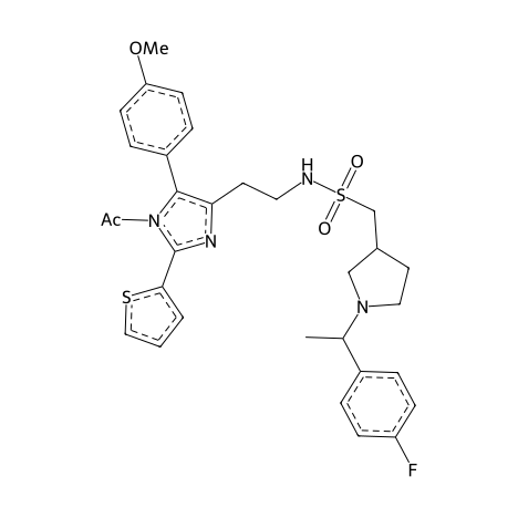 COc1ccc(-c2c(CCNS(=O)(=O)CC3CCN(C(C)c4ccc(F)cc4)C3)nc(-c3cccs3)n2C(C)=O)cc1